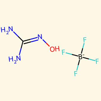 F[B-](F)(F)F.NC(N)=NO